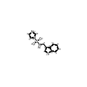 O=S(=O)(NCc1csc2ccccc12)n1ccnc1